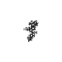 COCc1nc(Nc2ccc(C(F)(F)F)cn2)c2ccc(-c3ncccc3C(F)(F)F)nc2n1